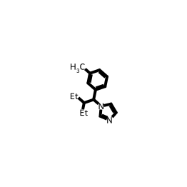 CCC(CC)C(c1cccc(C)c1)n1ccnc1